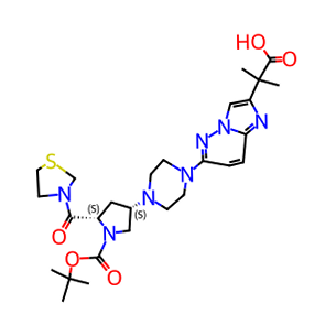 CC(C)(C)OC(=O)N1C[C@@H](N2CCN(c3ccc4nc(C(C)(C)C(=O)O)cn4n3)CC2)C[C@H]1C(=O)N1CCSC1